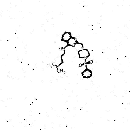 CN(C)CCCNc1nc(CN2CCN(S(=O)(=O)c3ccccc3)CC2)nc2ccccc12